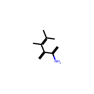 C=C(N)C(=C)C(C)=C(C)C